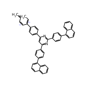 C=C/C=C\C(=C/C)c1ccc(-c2cc(-c3ccc(-c4cccc5ccccc45)cc3)nc(-c3ccc(-c4cccc5ccccc45)cc3)n2)cc1